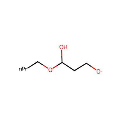 CCCCOC(O)CC[O]